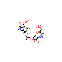 BCC(C)(OCC(C)COC(C)(CC)C(=O)CNC(C)C(=O)CO)C(=O)CN(C)C(C)(CC)C(=O)CO